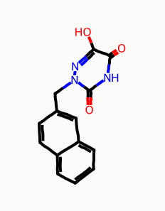 O=c1[nH]c(=O)n(Cc2ccc3ccccc3c2)nc1O